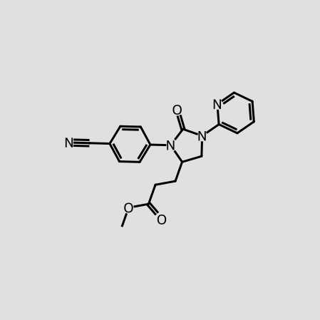 COC(=O)CCC1CN(c2ccccn2)C(=O)N1c1ccc(C#N)cc1